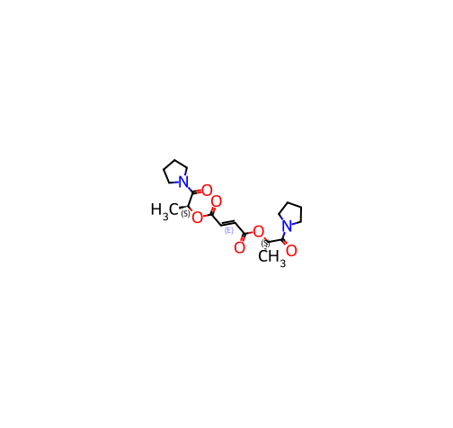 C[C@H](OC(=O)/C=C/C(=O)O[C@@H](C)C(=O)N1CCCC1)C(=O)N1CCCC1